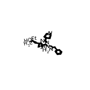 CC[C@](C)(O)C#Cc1csc2c(NC[C@H](N)Cc3ccccc3)nc(-c3ccncc3)nc12